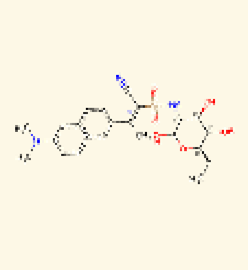 CC[C@H]1OC(O)[C@H](NS(=O)(=O)/C(C#N)=C(\C)c2ccc3cc(N(C)C)ccc3c2)[C@@H](O)[C@@H]1O